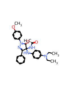 CCN(CC)c1ccc(NC2(NC(C)=O)C(=O)N(c3ccc(OC)cc3)N=C2c2ccccc2)cc1